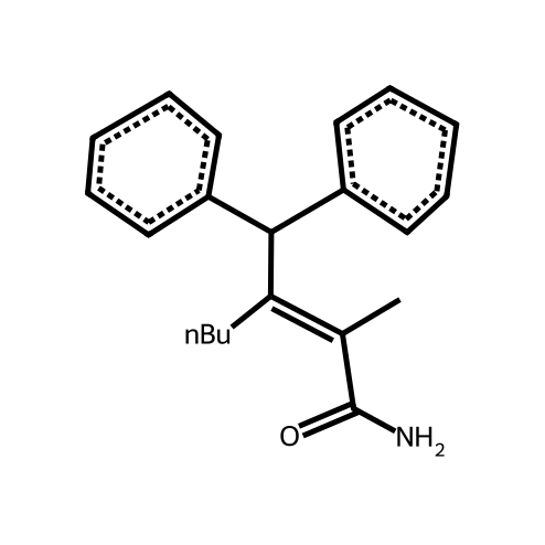 CCCCC(=C(C)C(N)=O)C(c1ccccc1)c1ccccc1